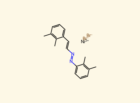 Cc1cccc(C=CN=Nc2cccc(C)c2C)c1C.[Br-].[Br-].[Ni+2]